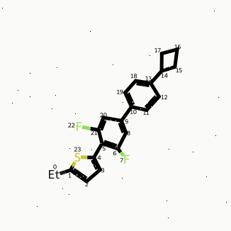 CCc1ccc(-c2c(F)cc(-c3ccc(C4CCC4)cc3)cc2F)s1